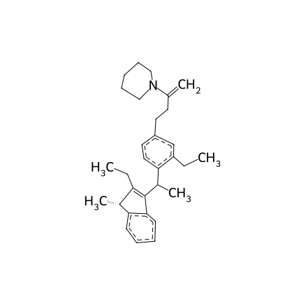 C=C(CCc1ccc(C(C)C2=C(CC)[C@@H](C)c3ccccc32)c(CC)c1)N1CCCCC1